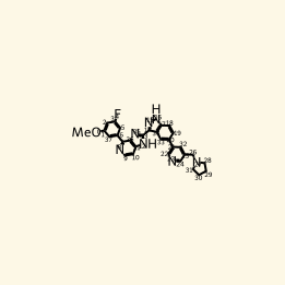 COc1cc(F)cc(-c2nccc3[nH]c(-c4n[nH]c5ccc(-c6cncc(CN7CCCC7)c6)cc45)nc23)c1